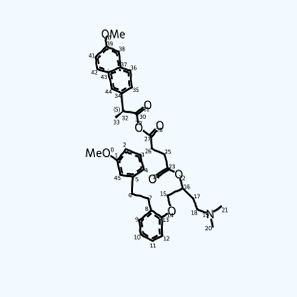 COc1cccc(CCc2ccccc2OCC(CCN(C)C)OC(=O)CCC(=O)OC(=O)[C@@H](C)c2ccc3cc(OC)ccc3c2)c1